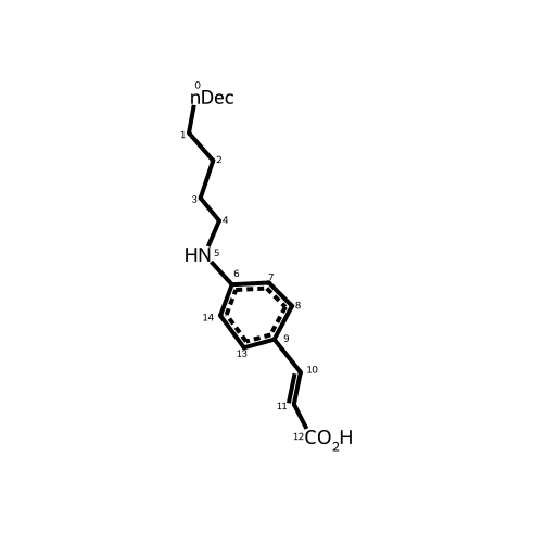 CCCCCCCCCCCCCCNc1ccc(C=CC(=O)O)cc1